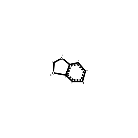 [c]1ccc2c(c1)SCO2